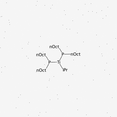 CCCCCCCC[P](CCCCCCCC)[Ti]([CH](C)C)[P](CCCCCCCC)CCCCCCCC